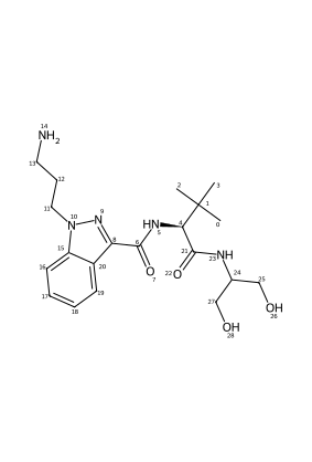 CC(C)(C)[C@H](NC(=O)c1nn(CCCN)c2ccccc12)C(=O)NC(CO)CO